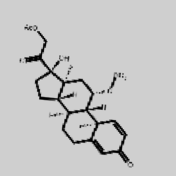 CC(=O)OCC(=O)[C@@]1(O)CC[C@H]2[C@@H]3CCC4=CC(=O)C=C[C@]4(C)[C@H]3[C@@H](O[N+](=O)[O-])C[C@@]21C